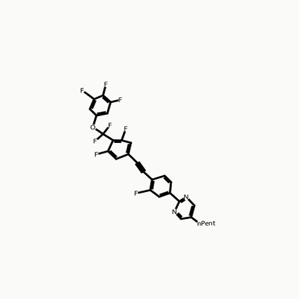 CCCCCc1cnc(-c2ccc(C#Cc3cc(F)c(C(F)(F)Oc4cc(F)c(F)c(F)c4)c(F)c3)c(F)c2)nc1